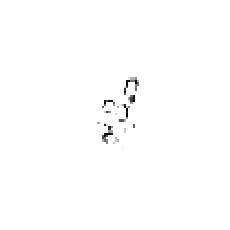 Nc1ncnc(NCCc2cc3ccccn3c2-c2ccccn2)c1C=O